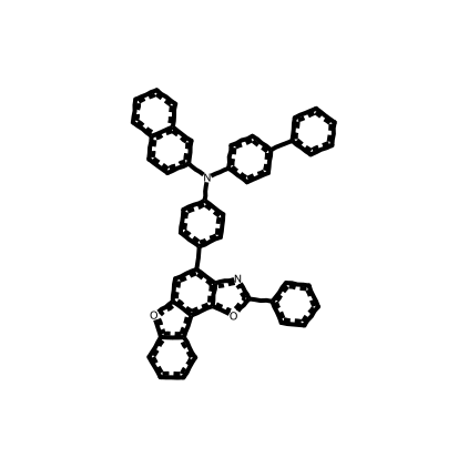 c1ccc(-c2ccc(N(c3ccc(-c4cc5oc6ccccc6c5c5oc(-c6ccccc6)nc45)cc3)c3ccc4ccccc4c3)cc2)cc1